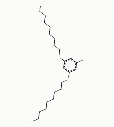 Cc1cc(OCCCCCCCCBr)cc(OCCCCCCCCBr)c1